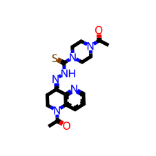 CC(=O)N1CCN(C(=S)N/N=C2/CCN(C(C)=O)c3cccnc32)CC1